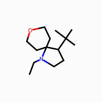 CCN1CCC(C(C)(C)C)C12CCOCC2